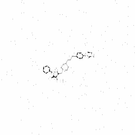 Bc1c(CN2CCC(CCCc3ccc(-n4ccnc4)cc3)CC2)n(C)n(-c2ccccc2)c1=O